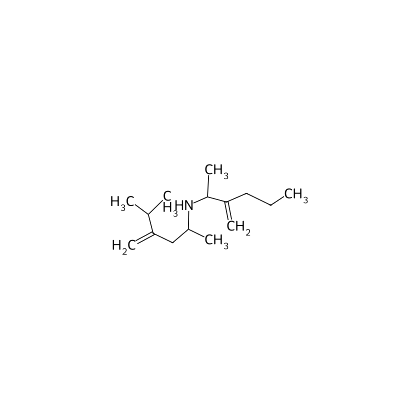 C=C(CC(C)NC(C)C(=C)CCC)C(C)C